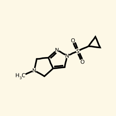 CN1Cc2cn(S(=O)(=O)C3CC3)nc2C1